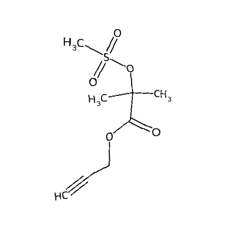 C#CCOC(=O)C(C)(C)OS(C)(=O)=O